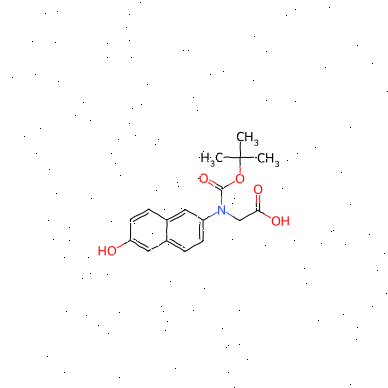 CC(C)(C)OC(=O)N(CC(=O)O)c1ccc2cc(O)ccc2c1